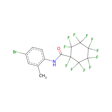 Cc1cc(Br)ccc1NC(=O)C1(F)C(F)(F)C(F)(F)C(F)(F)C(F)(F)C1(F)F